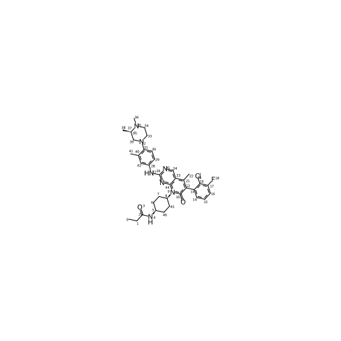 CCC(=O)N[C@H]1CC[C@@H](n2c(=O)c(-c3cccc(F)c3Cl)c(C)c3cnc(Nc4ccc(N5CCN(C)[C@H](C)C5)c(C)c4)nc32)CC1